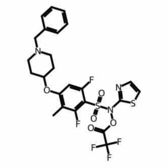 Cc1c(OC2CCN(Cc3ccccc3)CC2)cc(F)c(S(=O)(=O)N(OC(=O)C(F)(F)F)c2nccs2)c1F